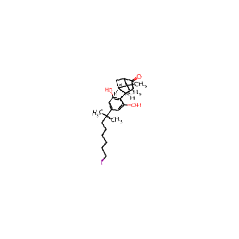 CC(C)(CCCCCCI)c1cc(O)c([C@@H]2CC(=O)C3C[C@H]2C3(C)C)c(O)c1